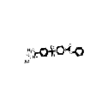 CCC(CC)(c1ccc([C@H](C)N[S@@+]([O-])C(C)(C)C)cc1)N1CCN(C(=O)Oc2ccccc2)CC1